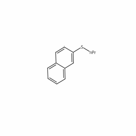 CCCSc1[c]cc2ccccc2c1